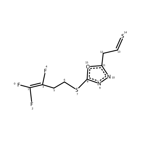 FC(F)=C(F)CCSc1nnc(CC=S)o1